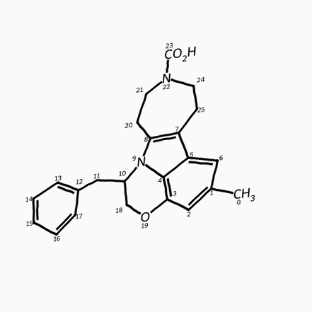 Cc1cc2c3c(c1)c1c(n3C(Cc3ccccc3)CO2)CCN(C(=O)O)CC1